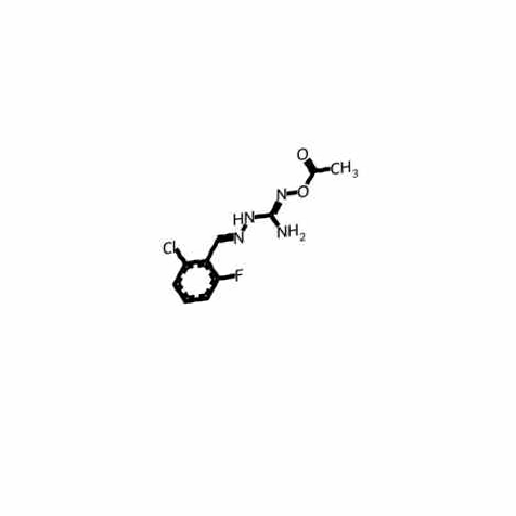 CC(=O)O/N=C(\N)N/N=C/c1c(F)cccc1Cl